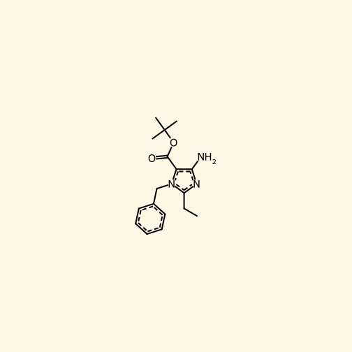 CCc1nc(N)c(C(=O)OC(C)(C)C)n1Cc1ccccc1